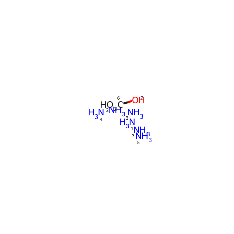 N.N.N.N.N.N.O=C(O)O